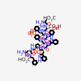 NC(=O)C[C@H](NC(=O)[C@@H]1CCCN1C(=O)[C@H](Cc1c[nH]c2ccccc12)NC(=O)[C@H](Cc1c[nH]c2ccccc12)NC(=O)[C@H](Cc1ccc(OS(=O)(=O)F)cc1)NC(=O)[C@@H](Cc1ccc(O)cc1)NC(=O)[C@@H](Cc1ccccc1)NC(=O)[C@@H](CC(=O)O)NC(=O)[C@@H](N)CC(=O)O)C(=O)N[C@@H](Cc1ccccc1)C(=O)O